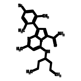 CCCC(CCC)Nc1cc(C)nc2c(-c3c(C)cc(Br)cc3C)cc(C(N)=O)n12